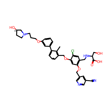 Cc1c(COc2cc(OCc3cncc(C#N)c3)c(CNC(CO)C(=O)O)cc2Cl)cccc1-c1cccc(OCCCN2CC[C@@H](O)C2)c1